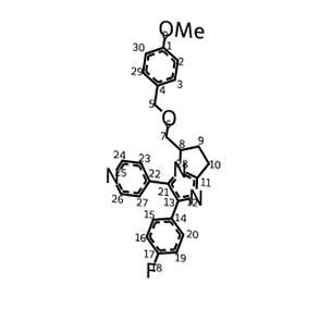 COc1ccc(COCC2CCc3nc(-c4ccc(F)cc4)c(-c4ccncc4)n32)cc1